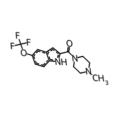 CN1CCN(C(=O)c2cc3cc(OC(F)(F)F)ccc3[nH]2)CC1